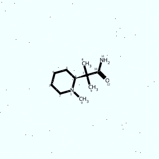 CN1CCCC[C@H]1C(C)(C)C(N)=O